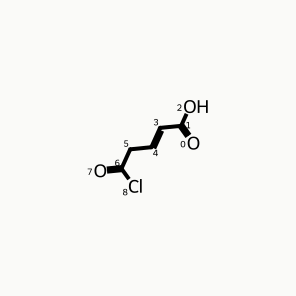 O=C(O)C=CCC(=O)Cl